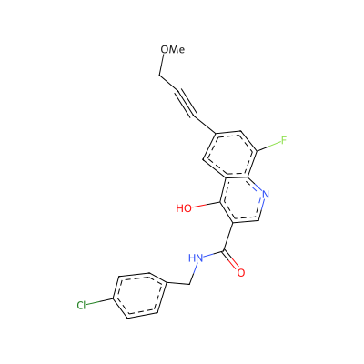 COCC#Cc1cc(F)c2ncc(C(=O)NCc3ccc(Cl)cc3)c(O)c2c1